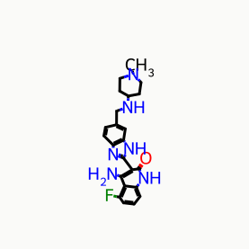 CN1CCC(NCc2ccc3nc(-c4c(N)c5c(F)cccc5[nH]c4=O)[nH]c3c2)CC1